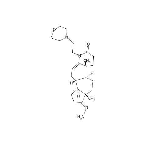 C[C@]12CCC(=O)N(CCN3CCOCC3)C1=CC[C@@H]1[C@@H]2CC[C@]2(C)C(=NN)CC[C@@H]12